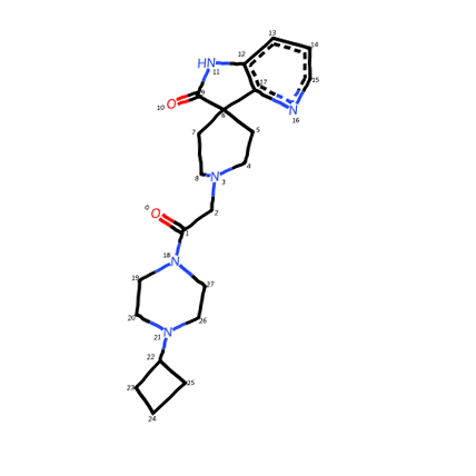 O=C(CN1CCC2(CC1)C(=O)Nc1cccnc12)N1CCN(C2CCC2)CC1